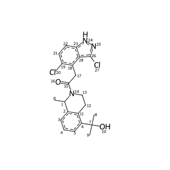 CC1c2cccc(C(C)(C)O)c2CCN1C(=O)Cc1c(Cl)ccc2[nH]nc(Cl)c12